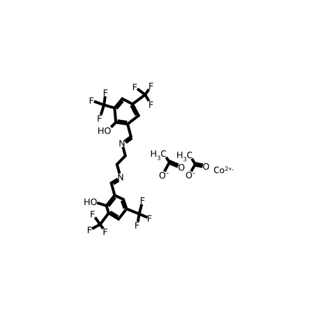 CC(=O)[O-].CC(=O)[O-].Oc1c(C=NCCN=Cc2cc(C(F)(F)F)cc(C(F)(F)F)c2O)cc(C(F)(F)F)cc1C(F)(F)F.[Co+2]